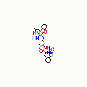 COC(=O)N[C@@H](Cc1ccccc1Cl)C(=O)N[C@H](CCCN1C(=N)N[C@](CC(C)C)(c2ccccc2)C1=O)C(C)C